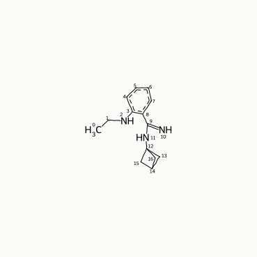 CCNc1ccccc1C(=N)NC12CC(C1)C2